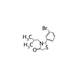 CC(C)CN1C(=O)CSC1c1cccc(Br)c1